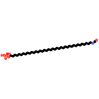 O=C=NCCCCCCCCCCCCCCCCCCCCCCCCCCCCCCCCCCCCCCCOP(=O)(O)O